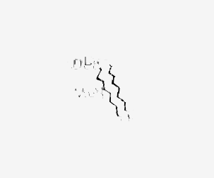 CCCCCCCCCCCCCCCCCCCl.CCCCCCCCCCCCCCCCCCCl.CNC